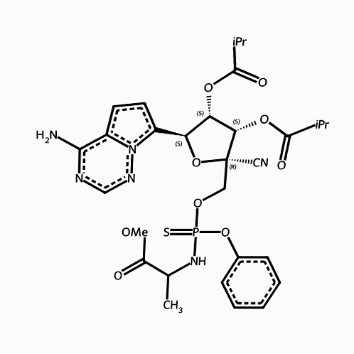 COC(=O)C(C)NP(=S)(OC[C@@]1(C#N)O[C@@H](c2ccc3c(N)ncnn23)[C@H](OC(=O)C(C)C)[C@@H]1OC(=O)C(C)C)Oc1ccccc1